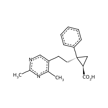 Cc1ncc(CC[C@]2(c3ccccc3)C[C@H]2C(=O)O)c(C)n1